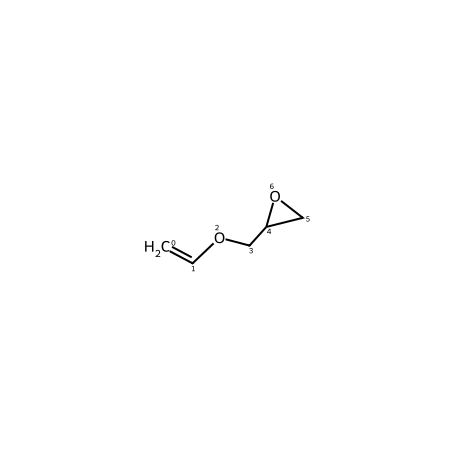 C=COCC1CO1